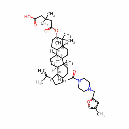 C=C(C)[C@@H]1CC[C@]2(CC(=O)N3CCN(Cc4cc(C)co4)CC3)CC[C@]3(C)[C@H](CC[C@@H]4[C@@]5(C)CC[C@H](OC(=O)CC(C)(C)CC(=O)O)C(C)(C)[C@@H]5CC[C@]43C)[C@@H]12